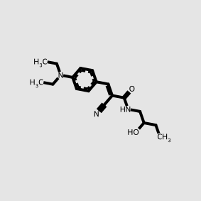 CCC(O)CNC(=O)/C(C#N)=C/c1ccc(N(CC)CC)cc1